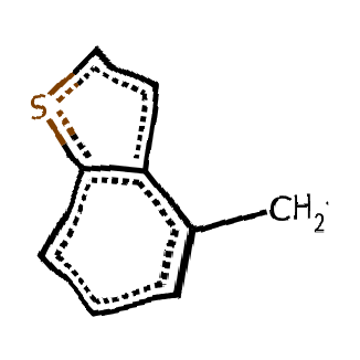 [CH2]c1cccc2sccc12